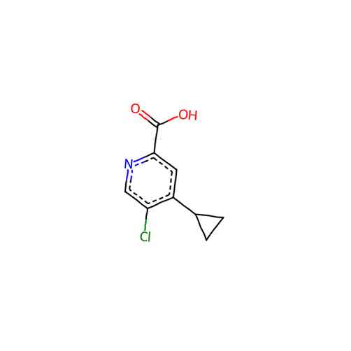 O=C(O)c1cc(C2CC2)c(Cl)cn1